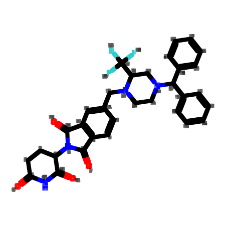 O=C1CCC(N2C(=O)c3ccc(CN4CCN(C(c5ccccc5)c5ccccc5)CC4C(F)(F)F)cc3C2=O)C(=O)N1